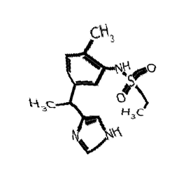 CCS(=O)(=O)Nc1cc(C(C)c2c[nH]cn2)ccc1C